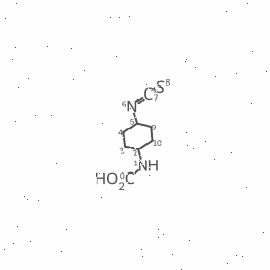 O=C(O)NC1CCC(N=C=S)CC1